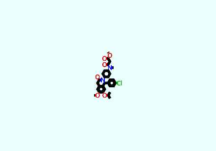 COC(=O)CC(=O)N(C)[C@H]1CC[C@H](N2C(=O)Cc3cc(OC)c(OC(C)C)cc3C2c2ccc(Cl)cc2)CC1